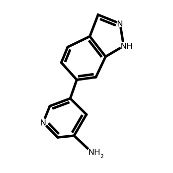 Nc1cncc(-c2ccc3cn[nH]c3c2)c1